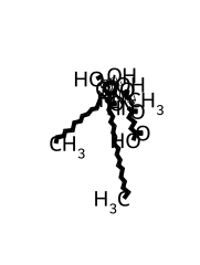 CCCCCCCCCCCCCCCCCC(=O)N(CCCCCCCCCCCC)[C@@H]1O[C@H](CO)[C@@H](O)[C@H](O)[C@H]1NC(=O)[C@H](C)NC(=O)CCCC(=O)O